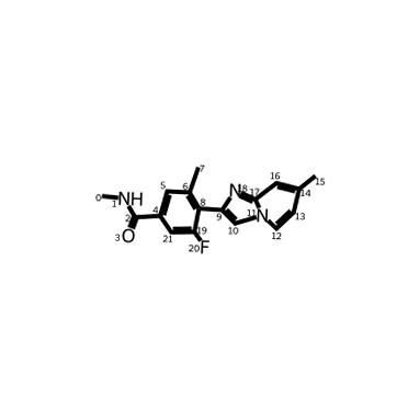 CNC(=O)c1cc(C)c(-c2cn3ccc(C)cc3n2)c(F)c1